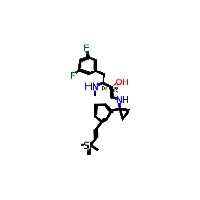 CN[C@@H](Cc1cc(F)cc(F)c1)[C@H](O)CNC1(c2cccc(C#C[Si](C)(C)C)c2)CC1